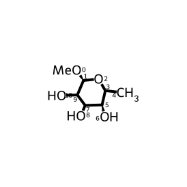 CO[C@H]1OC(C)[C@@H](O)C(O)C1O